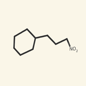 O=[N+]([O-])CCCC1CCCCC1